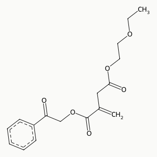 C=C(CC(=O)OCCOCC)C(=O)OCC(=O)c1ccccc1